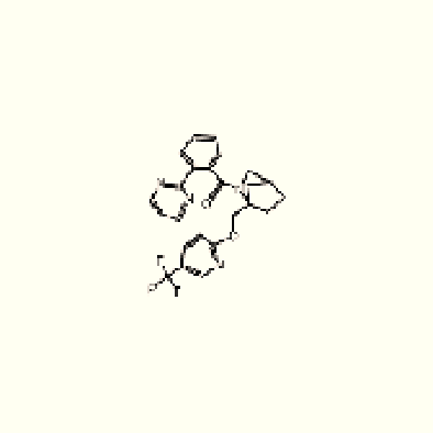 O=C(c1ccccc1-c1ncccn1)N1CC2CCC1(COc1ccc(C(F)(F)F)cn1)C2